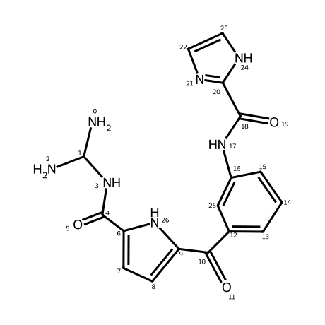 NC(N)NC(=O)c1ccc(C(=O)c2cccc(NC(=O)c3ncc[nH]3)c2)[nH]1